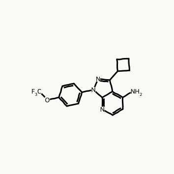 Nc1ccnc2c1c(C1CCC1)nn2-c1ccc(OC(F)(F)F)cc1